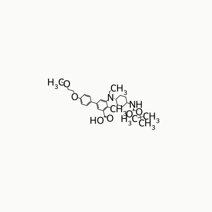 CCN(c1cc(-c2ccc(OCCOC)cc2)cc(C(=O)O)c1C)[C@H]1CC[C@H](NC(=O)OC(C)(C)C)CC1